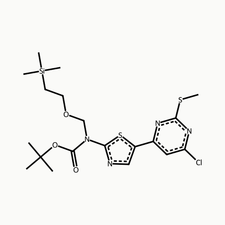 CSc1nc(Cl)cc(-c2cnc(N(COCC[Si](C)(C)C)C(=O)OC(C)(C)C)s2)n1